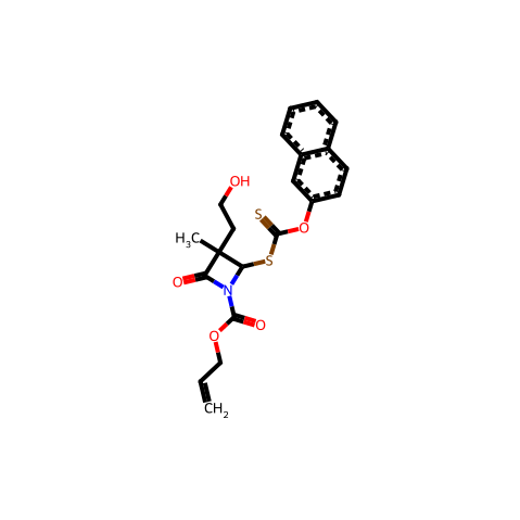 C=CCOC(=O)N1C(=O)C(C)(CCO)C1SC(=S)Oc1ccc2ccccc2c1